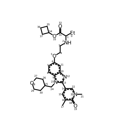 CCC(NCCOc1ccc2c(c1)nc(-c1cc(C)c(=O)n(C)c1)n2CC1CCOCC1)C(=O)OC1CCC1